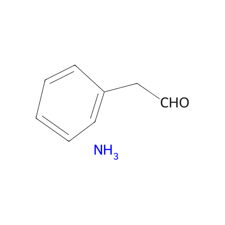 N.O=CCc1ccccc1